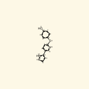 Oc1ccc(Oc2ccc(-c3ccn[nH]3)cn2)cc1